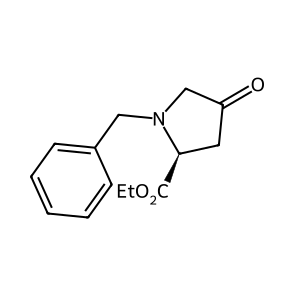 CCOC(=O)[C@@H]1CC(=O)CN1Cc1ccccc1